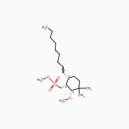 CCCCCCC/C=C/[C@@H]1CCC(C)(C)[C@H](OC)[C@@H]1CS(=O)(=O)OC